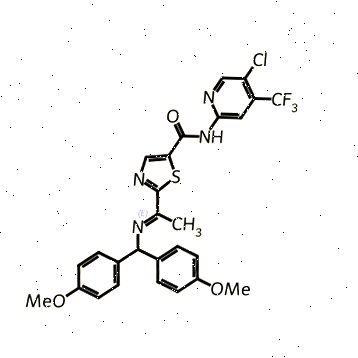 COc1ccc(C(/N=C(\C)c2ncc(C(=O)Nc3cc(C(F)(F)F)c(Cl)cn3)s2)c2ccc(OC)cc2)cc1